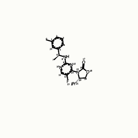 Cc1cccc([C@H](C)Nc2ncc(F)c(N3C(=O)OC[C@@H]3C(C)C)n2)c1